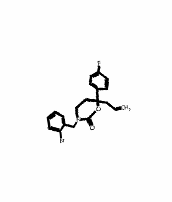 C=CCC1(c2ccc(F)cc2)CCN(Cc2ccccc2Br)C(=O)O1